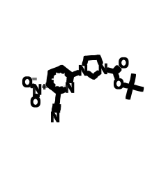 CC(C)(C)OC(=O)N1CCN(c2ccc([N+](=O)[O-])c(C#N)n2)C1